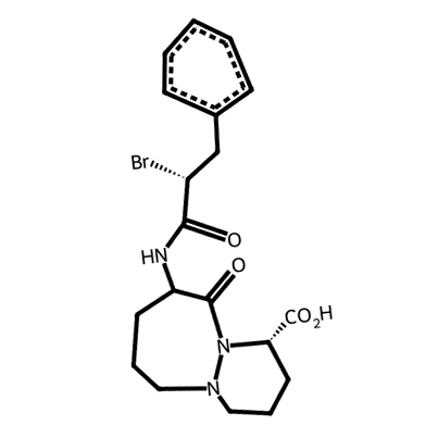 O=C(NC1CCCN2CCC[C@@H](C(=O)O)N2C1=O)[C@H](Br)Cc1ccccc1